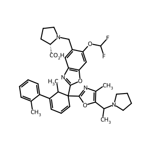 Cc1ccccc1C1=CC=CC(c2nc(C)c(C(C)N3CCCC3)o2)(c2nc3cc(CN4CCC[C@H]4C(=O)O)c(OC(F)F)cc3o2)C1C